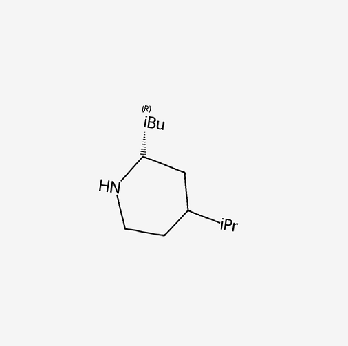 CC[C@@H](C)C1CC(C(C)C)CCN1